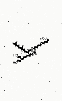 CCCCCCCC/C=C\CCCCCCCC(OC/C=C(\C)CC/C=C(\C)CCC=C(C)C)O[Si](C)(C)OCCCCCCN(CCO)CCO